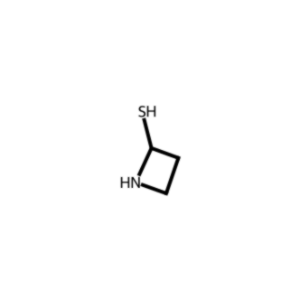 SC1CCN1